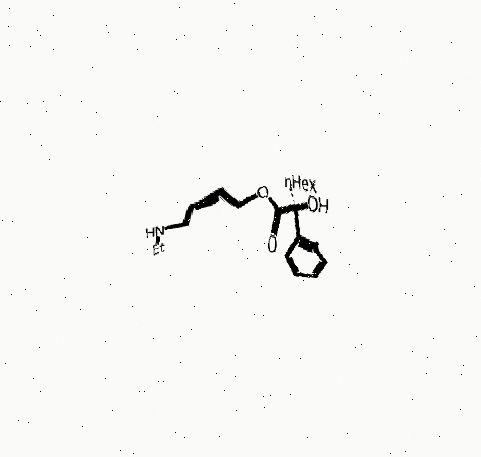 CCCCCC[C@@](O)(C(=O)OC/C=C\CNCC)c1ccccc1